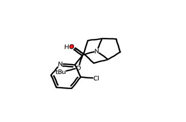 CC(C)(C)OC(=O)N1C2CCC1CC(O)(c1ncccc1Cl)C2